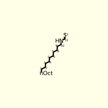 CCCCCCCCCCCCCCCCCCNC=S